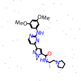 COc1cc(Nc2nccc(-c3cc(C(=O)N[C@@H](C)CN4CCCC4)n(C)n3)n2)cc(OC)c1